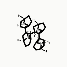 CN1C2=C(C3=C4CC[C@@H](CC3C3=C5CC[C@@H](CC3C3=C6CC[C@@H](CC3)N6C)N5C)N4C)CC[C@@H]1CC2